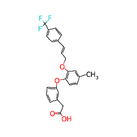 Cc1ccc(Oc2cccc(CC(=O)O)c2)c(OC/C=C/c2ccc(C(F)(F)F)cc2)c1